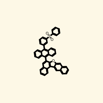 O=S(=O)(c1ccccc1)c1cccc(-c2c3ccccc3c(-c3cc4ccccc4c4c3oc3cc5ccccc5cc34)c3ccccc23)c1